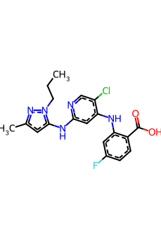 CCCn1nc(C)cc1Nc1cc(Nc2cc(F)ccc2C(=O)O)c(Cl)cn1